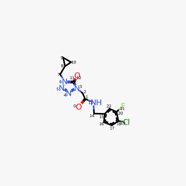 O=C(Cn1nnn(CC2CC2)c1=O)NCc1ccc(Cl)c(F)c1